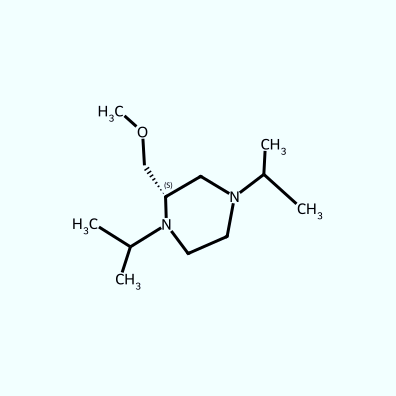 COC[C@@H]1CN(C(C)C)CCN1C(C)C